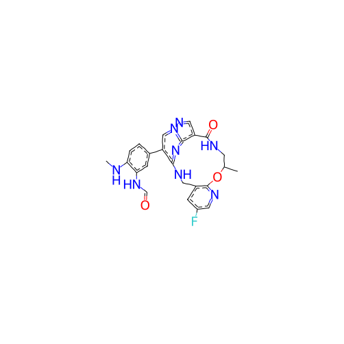 CNc1ccc(-c2cn3ncc4c3nc2NCc2cc(F)cnc2OC(C)CNC4=O)cc1NC=O